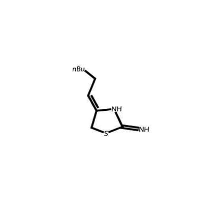 CCCCCC=C1CSC(=N)N1